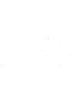 COc1ccc(/C(=C(/c2ccccc2)c2ccc(C(=C(C#N)C#N)c3cccs3)cc2)c2ccc(OCC3CCNCC3)cc2)cc1